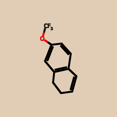 FC(F)(F)Oc1ccc2c(c1)CCC=C2